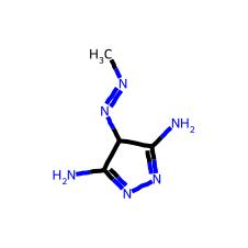 CN=NC1C(N)=NN=C1N